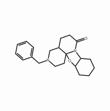 O=C1CCC2CN(Cc3ccccc3)CCC23OC2CCCCC2N13